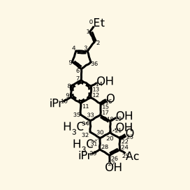 CC/C=C/C1=CC=C(c2cc(C(C)C)c3c(c2O)C(=O)C2=C(O)[C@@]4(O)C(=O)C(C(C)=O)=C(O)C(C(C)C)[C@@]4(C)C[C@@]2(C)C3)C1